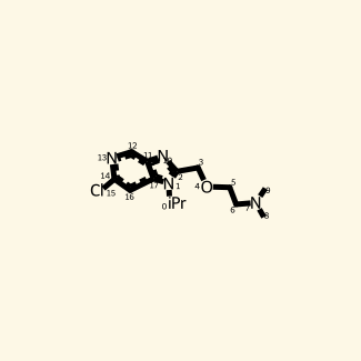 CC(C)n1c(COCCN(C)C)nc2cnc(Cl)cc21